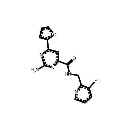 CCc1cccnc1CNC(=O)c1cc(-c2ccco2)nc(N)n1